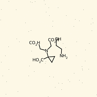 NCCO.O=C(O)CN(CC(=O)O)C1(C(=O)O)CC1